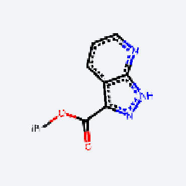 CC(C)OC(=O)c1n[nH]c2ncccc12